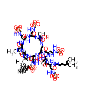 CC[C@@H](C)CCCCC(=O)N[C@@H](CCNCS(=O)(=O)[O-])C(=O)N[C@H](C(=O)N[C@@H](CCNCS(=O)(=O)[O-])C(=O)N[C@H]1CCNC(=O)[C@H]([C@@H](C)O)NC(=O)[C@H](CCNCS(=O)(=O)[O-])NC(=O)[C@H](CCNCS(=O)(=O)[O-])NC(=O)[C@H](CC(C)C)NC(=O)[C@@H](CC(C)C)NC(=O)[C@H](CCNCS(=O)(=O)[O-])NC1=O)[C@@H](C)O.[Na+].[Na+].[Na+].[Na+].[Na+]